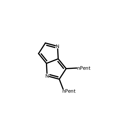 CCCCCC1=NC2=CC=NC2=C1CCCCC